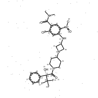 CN(C)C(=O)c1cc([N+](=O)[O-])c(NC2CN(C3CCN(C(=O)[C@](O)(c4ccccc4)C(F)(F)F)CC3)C2)cc1Cl